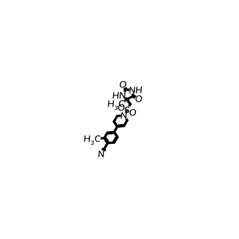 Cc1cc(C2=CCN(S(=O)(=O)C[C@]3(C)NC(=O)NC3=O)CC2)ccc1C#N